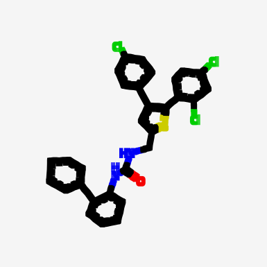 O=C(NCc1cc(-c2ccc(Cl)cc2)c(-c2ccc(Cl)cc2Cl)s1)Nc1ccccc1-c1ccccc1